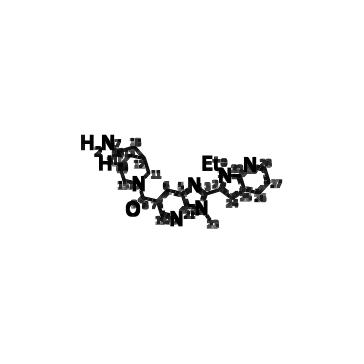 CCn1c(-c2nc3cc(C(=O)N4CC5C[C@@H](C4)[C@H](N)C5)cnc3n2C)cc2cccnc21